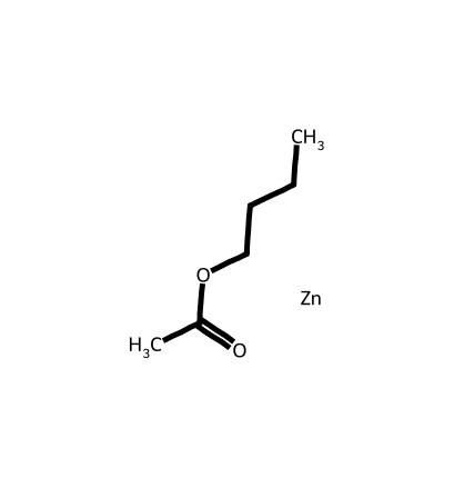 CCCCOC(C)=O.[Zn]